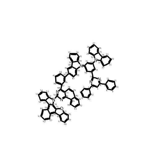 c1ccc(-c2cc(-c3ccccc3)nc(-c3cc(-n4c5ccccc5c5ccccc54)cc(-n4c5ccccc5c5cc(-c6cccc(-c7nc(-n8c9ccccc9c9c%10ccccc%10c%10c%11ccccc%11oc%10c98)nc8c7ccc7ccccc78)c6)ccc54)c3)n2)cc1